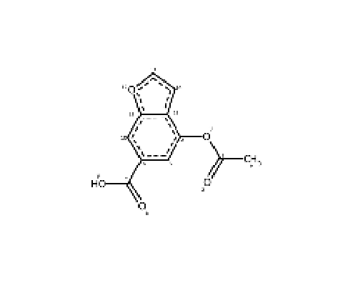 CC(=O)Oc1cc(C(=O)O)cc2occc12